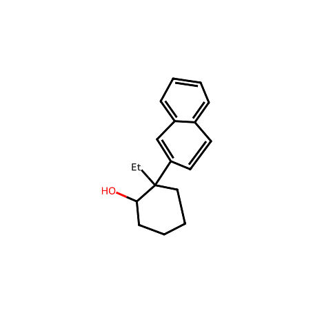 CCC1(c2ccc3ccccc3c2)CCCCC1O